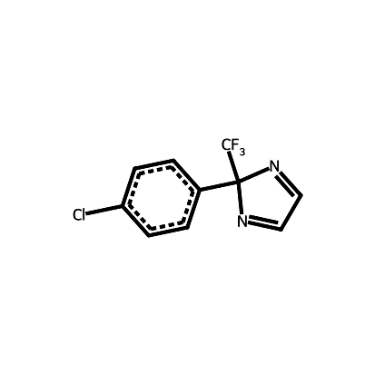 FC(F)(F)C1(c2ccc(Cl)cc2)N=CC=N1